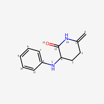 C=C1CCC(Nc2ccccc2)C(=O)N1